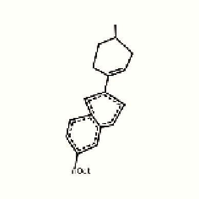 CCCCCCCCc1ccc2cc(C3=CCC(C)CC3)ccc2c1